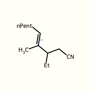 CCCCC/C=C(\C)C(CC)CC#N